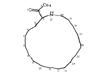 O=C(O)C1CCCCCCCCCCCCCCCCCN1